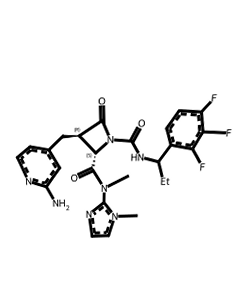 CCC(NC(=O)N1C(=O)[C@H](Cc2ccnc(N)c2)[C@H]1C(=O)N(C)c1nccn1C)c1ccc(F)c(F)c1F